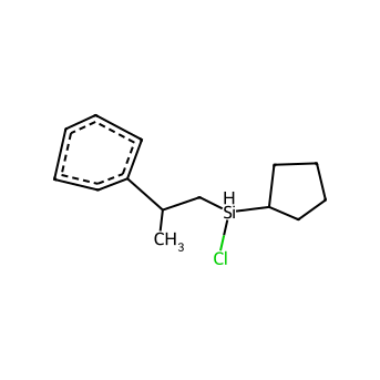 CC(C[SiH](Cl)C1CCCC1)c1ccccc1